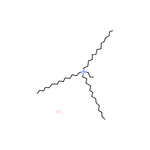 B.CCCCCCCCCCCCCC[N+](CCC)(CCCCCCCCCCCCCC)CCCCCCCCCCCCCC